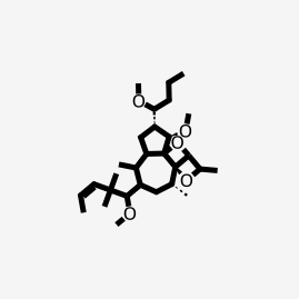 C/C=C\C(C)(C)C(OC)C1C[C@@H](C)[C@@]23OC(C)C2OC32C(C[C@H](C(CCC)OC)[C@@H]2OC)C1C